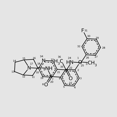 COc1cccc(C(=O)NC2CC3CCC(C2)N3c2ccc(C(=O)NCc3cccc(F)c3)cn2)c1C